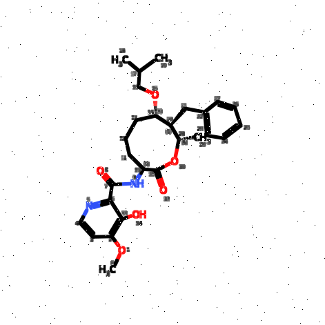 COc1ccnc(C(=O)N[C@H]2CCC[C@H](OCC(C)C)[C@@H](Cc3ccccc3)[C@H](C)OC2=O)c1O